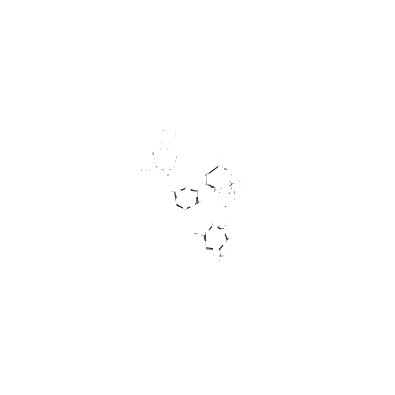 CCC1CN(C)CCN1Cc1cccc(C2=NC(C)(NCCc3cc(F)cc(F)c3)NC=C2)c1